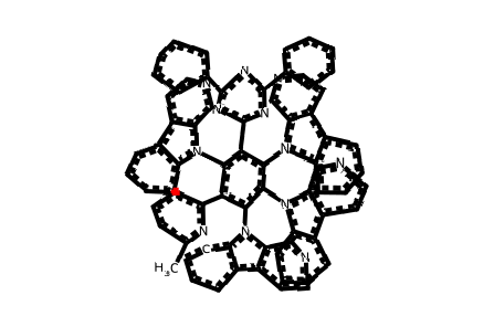 Cc1cccc(-c2c(-n3c4ccccc4c4ccncc43)c(-c3nc(-c4ccccc4)nc(-c4ccccc4)n3)c(-n3c4ccccc4c4ccncc43)c(-n3c4ccccc4c4ccncc43)c2-n2c3ccccc3c3ccncc32)n1